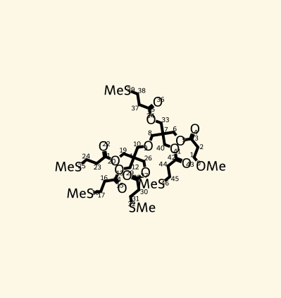 COCCC(=O)OCC(COCC(COC(=O)CCSC)(COC(=O)CCSC)COC(=O)CCSC)(COC(=O)CCSC)COC(=O)CCSC